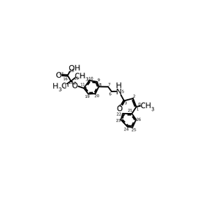 CC(=CC(=O)NCCc1ccc(OC(C)(C)C(=O)O)cc1)c1ccccc1